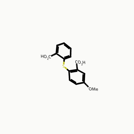 COc1ccc(Sc2ccccc2C(=O)O)c(C(=O)O)c1